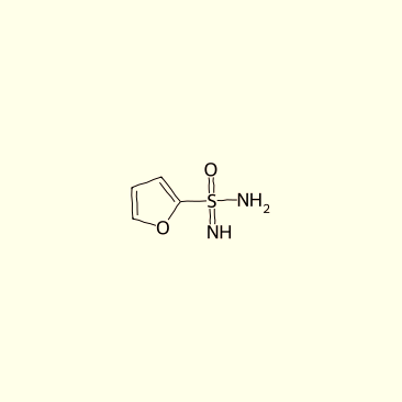 N=S(N)(=O)c1ccco1